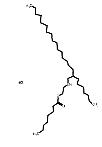 CCCCCCCCCCCCCCCCC(CCCCCCC)CNCCOC(=O)CCCCCCC.Cl